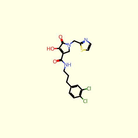 O=C(NCCCc1ccc(Cl)c(Cl)c1)C1=C(O)C(=O)N(Cc2nccs2)C1